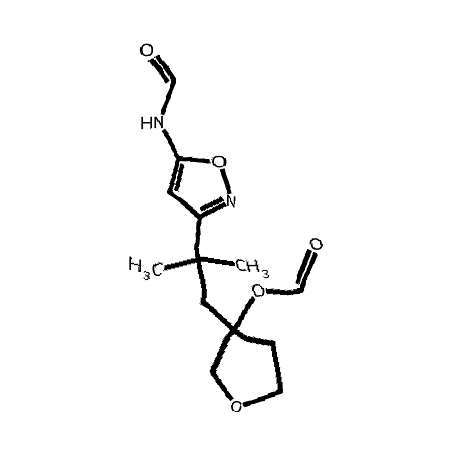 CC(C)(CC1(OC=O)CCOC1)c1cc(NC=O)on1